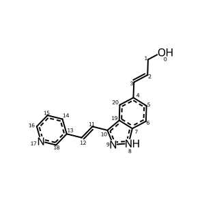 OC/C=C/c1ccc2[nH]nc(/C=C/c3cccnc3)c2c1